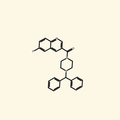 O=C(c1cnc2ccc(F)cc2c1)N1CCN(C(c2ccccc2)c2ccccc2)CC1